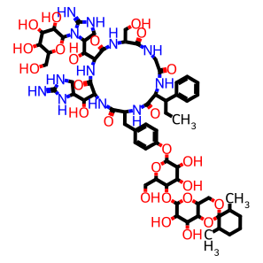 CCC(c1ccccc1)C1NC(=O)CNC(=O)C(CO)NC(=O)C(C(O)C2CNC(=N)N2C2OC(CO)C(O)C(O)C2O)NC(=O)C(C(O)C2CNC(=N)N2)NC(=O)C(Cc2ccc(OC3OC(CO)C(OC4OC5COC6(OC5C(O)C4O)C(C)CCCC6C)C(O)C3O)cc2)NC1=O